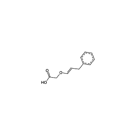 O=C(O)COC=CCc1ccccc1